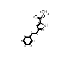 COC(=O)c1cc(CCc2ccccc2)n[nH]1